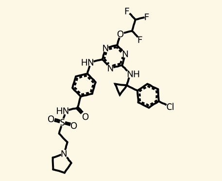 O=C(NS(=O)(=O)CCN1CCCC1)c1ccc(Nc2nc(NC3(c4ccc(Cl)cc4)CC3)nc(OC(F)C(F)F)n2)cc1